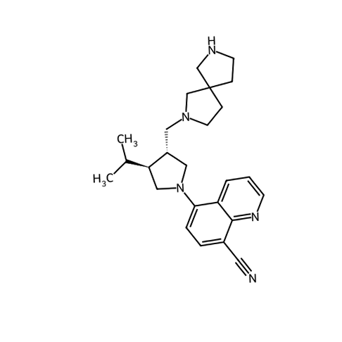 CC(C)[C@@H]1CN(c2ccc(C#N)c3ncccc23)C[C@H]1CN1CCC2(CCNC2)C1